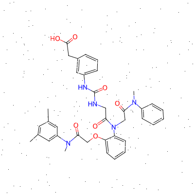 Cc1cc(C)cc(N(C)C(=O)COc2ccccc2N(CC(=O)N(C)c2ccccc2)C(=O)CNC(=O)Nc2cccc(CC(=O)O)c2)c1